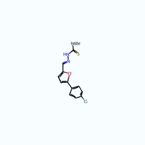 CNC(=S)NN=Cc1ccc(-c2ccc(Cl)cc2)o1